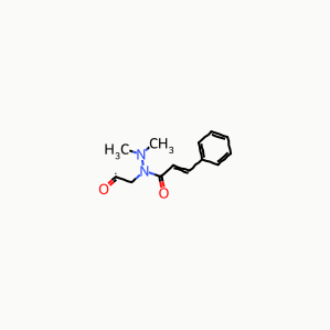 CN(C)N(C[C]=O)C(=O)/C=C/c1ccccc1